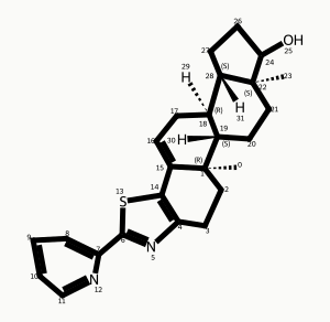 C[C@]12CCc3nc(-c4ccccn4)sc3C1=CC[C@@H]1[C@@H]2CC[C@]2(C)C(O)CC[C@@H]12